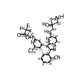 Cc1cc(-c2c(-c3ccccc3C#N)nn3ccc(NCC4(O)CNC4)nc23)cc(Cl)n1.O=C(O)C(F)(F)F